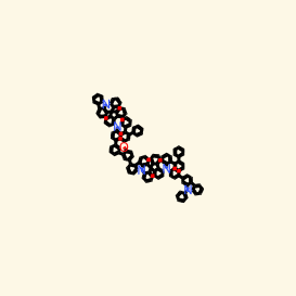 c1ccc(-c2ccccc2-c2ccccc2N(c2ccc(-c3cccc4c3oc3ccc(-c5cccc6c5c5cccc7c5n6-c5ccccc5C75c6ccccc6-c6c(N(c7ccc(-c8ccc9c%10ccccc%10n(-c%10ccccc%10)c9c8)cc7)c7ccccc7-c7ccccc7-c7ccccc7)cccc65)cc34)cc2)c2cccc3c2-c2ccccc2C32c3ccccc3-n3c4ccccc4c4cccc2c43)cc1